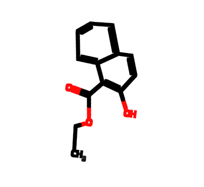 CCOC(=O)c1c(O)ccc2ccccc12